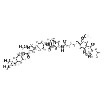 COc1cc2c(cc1OCCCC(=O)Nc1cc(C(=O)Nc3ccc(-c4cc(C(=O)Nc5ccc(NC(C)C)cc5)n(C)c4)cc3)n(C)c1)N=C[C@@H]1CCCCN1C2=O